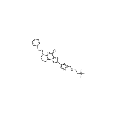 C[Si](C)(C)CCOCn1cc(-c2cc3c4c(oc(=O)c3s2)C(OCc2ccccc2)CCC4)cn1